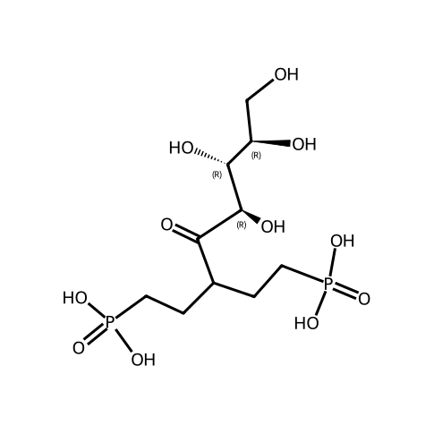 O=C(C(CCP(=O)(O)O)CCP(=O)(O)O)[C@H](O)[C@H](O)[C@H](O)CO